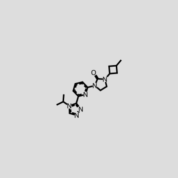 CC1CC(N2CCN(c3cccc(-c4nncn4C(C)C)n3)C2=O)C1